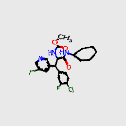 COC(=O)NC(C(=O)NC1CCCCC1)C(c1cncc(F)c1)c1ccc(Cl)c(F)c1